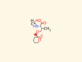 CCN[C@H](C(=O)O)[C@@H](C)[C@@H]1COC2(CCCCO2)C2(CCCCO2)O1